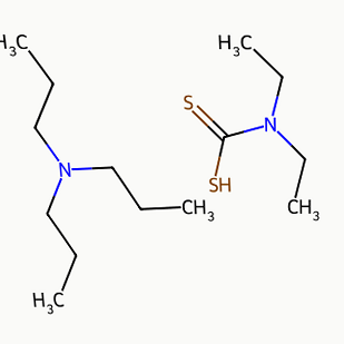 CCCN(CCC)CCC.CCN(CC)C(=S)S